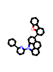 c1ccc(-c2cccc(-n3c4cccc5ccc6c(-c7cccc8c7oc7ccccc78)ccc3c6c54)n2)cc1